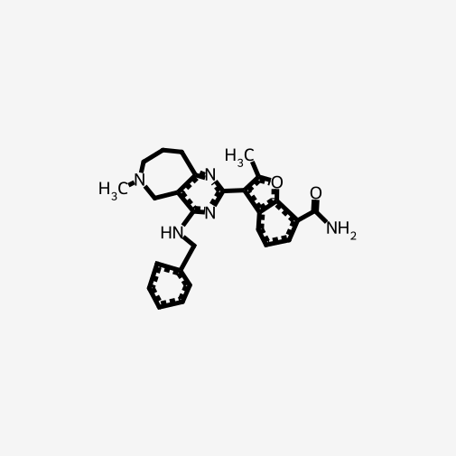 Cc1oc2c(C(N)=O)cccc2c1-c1nc2c(c(NCc3ccccc3)n1)CN(C)CCC2